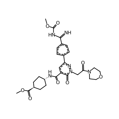 COC(=O)NC(=N)c1ccc(-c2cc(C(=O)N[C@H]3CC[C@H](C(=O)OC)CC3)c(=O)n(CC(=O)N3CCOCC3)n2)cc1